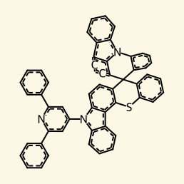 c1ccc(-c2cc(-n3c4ccccc4c4c5c(ccc43)C3(c4ccccc4S5)c4ccccc4-n4c5ccccc5c5cccc3c54)cc(-c3ccccc3)n2)cc1